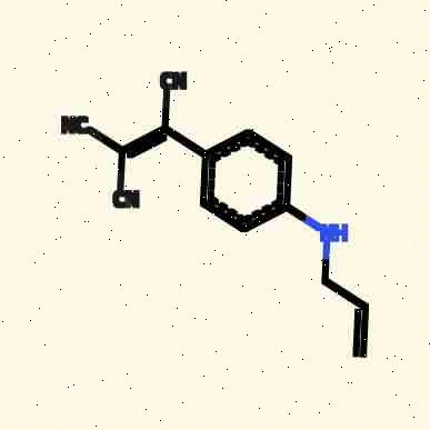 C=CCNc1ccc(C(C#N)=C(C#N)C#N)cc1